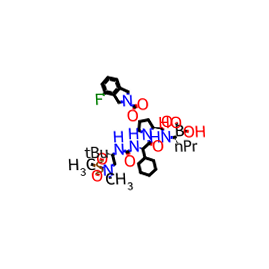 CCC[C@H](NC(=O)[C@@H]1C[C@@H](OC(=O)N2Cc3cccc(F)c3C2)CN1C(=O)[C@@H](NC(=O)N[C@H](CN(C)S(C)(=O)=O)C(C)(C)C)C1CCCCC1)B(O)O